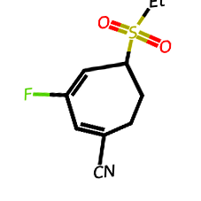 CCS(=O)(=O)C1C=C(F)C=C(C#N)CC1